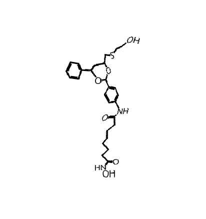 O=C(CCCCCCC(=O)Nc1ccc(C2OC(CSCCO)CC(c3ccccc3)O2)cc1)NO